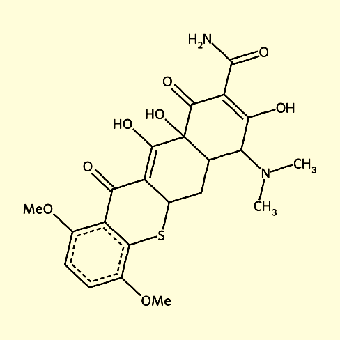 COc1ccc(OC)c2c1SC1CC3C(N(C)C)C(O)=C(C(N)=O)C(=O)C3(O)C(O)=C1C2=O